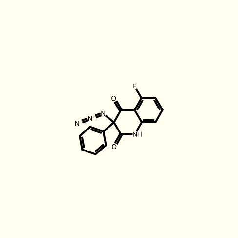 [N-]=[N+]=NC1(c2ccccc2)C(=O)Nc2cccc(F)c2C1=O